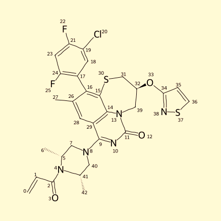 C=CC(=O)N1[C@H](C)CN(c2nc(=O)n3c4c(c(-c5cc(Cl)c(F)cc5F)c(C)cc24)SC[C@@H](Oc2ccsn2)C3)C[C@@H]1C